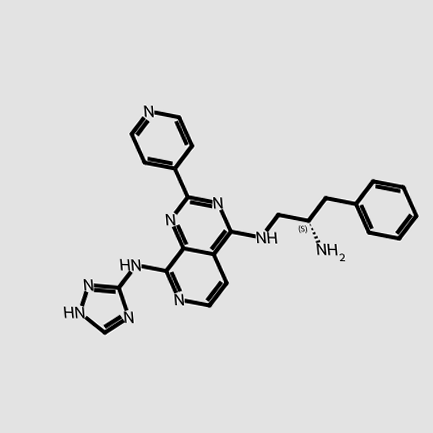 N[C@H](CNc1nc(-c2ccncc2)nc2c(Nc3nc[nH]n3)nccc12)Cc1ccccc1